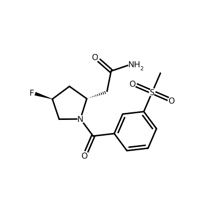 CS(=O)(=O)c1cccc(C(=O)N2C[C@@H](F)C[C@@H]2CC(N)=O)c1